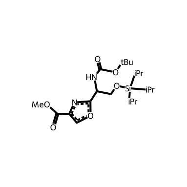 COC(=O)c1coc(C(CO[Si](C(C)C)(C(C)C)C(C)C)NC(=O)OC(C)(C)C)n1